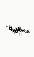 Cc1c(C(=O)NCCOC(C)(C)C)ccc2nn(CC3CCNCC3)cc12